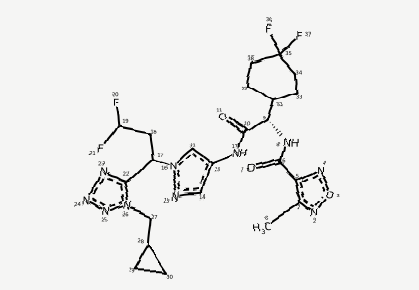 Cc1nonc1C(=O)N[C@H](C(=O)Nc1cnn(C(CC(F)F)c2nnnn2CC2CC2)c1)C1CCC(F)(F)CC1